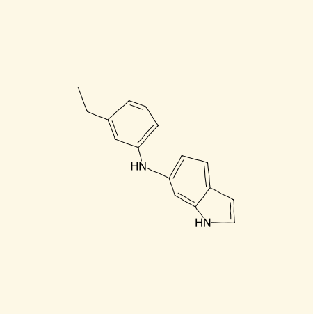 CCc1cccc(Nc2ccc3cc[nH]c3c2)c1